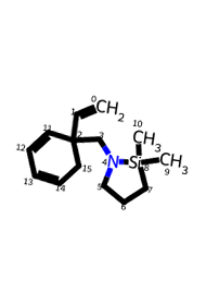 C=CC1(CN2CCC[Si]2(C)C)C=CC=CC1